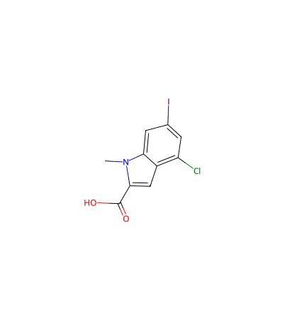 Cn1c(C(=O)O)cc2c(Cl)cc(I)cc21